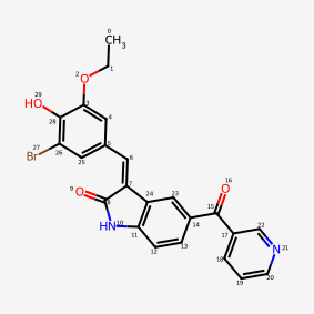 CCOc1cc(/C=C2\C(=O)Nc3ccc(C(=O)c4cccnc4)cc32)cc(Br)c1O